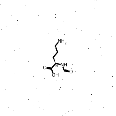 NCCC[C@@H](NC=O)C(=O)O